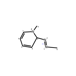 C/N=N/C1C=CC=CN1C